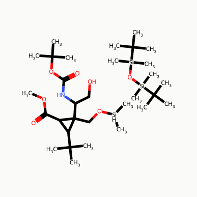 CC(C)(C)[Si](C)(C)O[Si](C)(C)C(C)(C)C.COC(=O)C1C(C(C)(C)C)C1(CO[SiH](C)C)C(CO)NC(=O)OC(C)(C)C